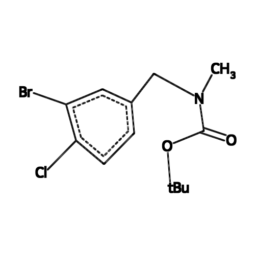 CN(Cc1ccc(Cl)c(Br)c1)C(=O)OC(C)(C)C